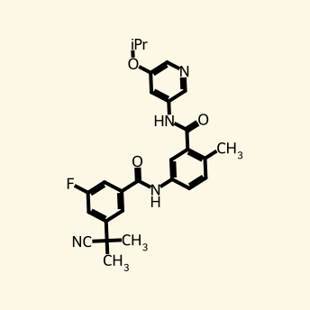 Cc1ccc(NC(=O)c2cc(F)cc(C(C)(C)C#N)c2)cc1C(=O)Nc1cncc(OC(C)C)c1